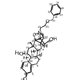 C[C@]12C=CC(=O)C=C1CC[C@@H]1[C@@H]2[C@@H](O)C[C@@]2(C)[C@H]1C[C@H]1CN(CCOCc3ccccc3)O[C@]12C(=O)CO